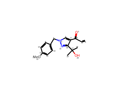 C=CC(=O)c1cn(Cc2ccc(OC)cc2)nc1C(C)(C)O